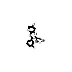 N[C@H](CO)C[C@@H](Sc1ncc(Cl)cc1Cl)c1cccc(F)c1